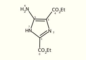 CCOC(=O)c1nc(C(=O)OCC)c(N)[nH]1